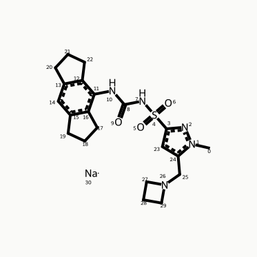 Cn1nc(S(=O)(=O)NC(=O)Nc2c3c(cc4c2CCC4)CCC3)cc1CN1CCC1.[Na]